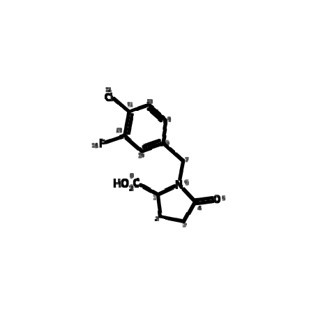 O=C(O)C1CCC(=O)N1Cc1ccc(Cl)c(F)c1